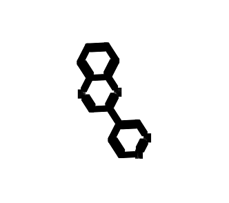 c1ccc2nc(-c3ccnnc3)cnc2c1